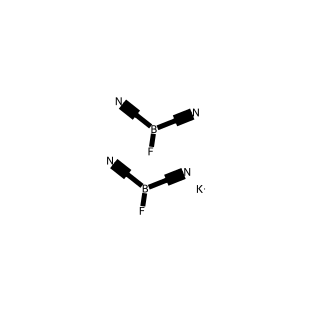 N#CB(F)C#N.N#CB(F)C#N.[K]